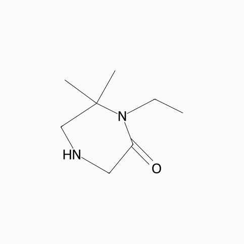 CCN1C(=O)CNCC1(C)C